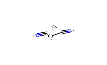 N#[C][Cu][C]#N.[Co]